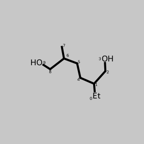 CCC(CO)CCC(C)CO